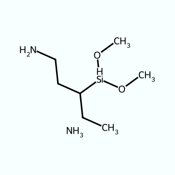 CCC(CCN)[SiH](OC)OC.N